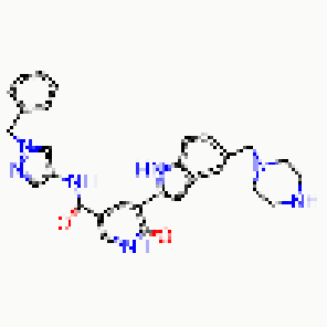 O=C(Nc1cnn(Cc2ccccc2)c1)c1c[nH]c(=O)c(-c2cc3cc(CN4CCNCC4)ccc3[nH]2)c1